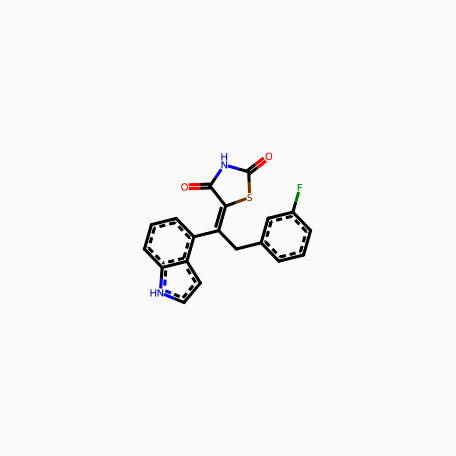 O=C1NC(=O)C(=C(Cc2cccc(F)c2)c2cccc3[nH]ccc23)S1